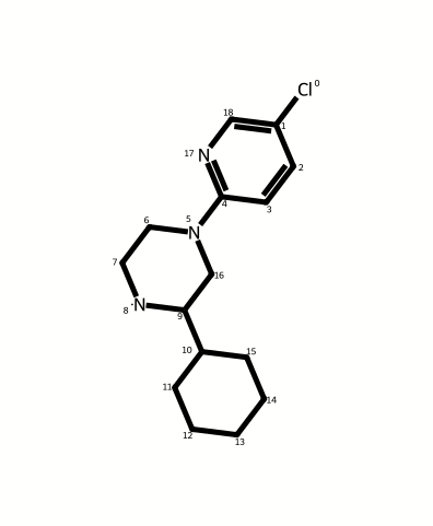 Clc1ccc(N2CC[N]C(C3CCCCC3)C2)nc1